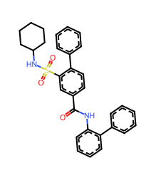 O=C(Nc1ccccc1-c1ccccc1)c1ccc(-c2ccccc2)c(S(=O)(=O)NC2CCCCC2)c1